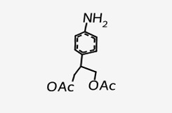 CC(=O)OCC(COC(C)=O)c1ccc(N)cc1